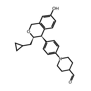 O=CC1CCN(c2ccc([C@@H]3c4ccc(O)cc4CO[C@@H]3CC3CC3)cc2)CC1